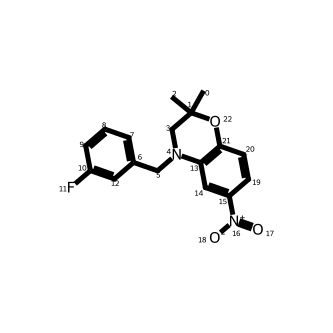 CC1(C)CN(Cc2cccc(F)c2)c2cc([N+](=O)[O-])ccc2O1